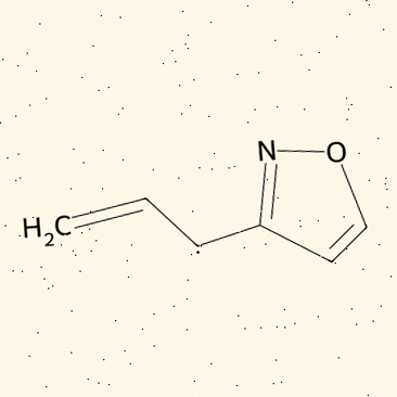 C=C[CH]c1ccon1